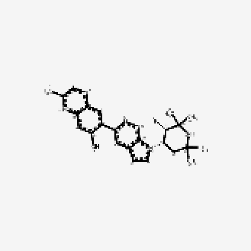 Cc1cnc2cc(-c3cc4ccn([C@H]5CC(C)(C)NC(C)(C)[C@H]5F)c4nn3)c(O)cc2n1